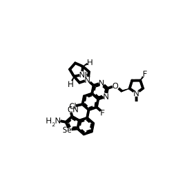 CN1C[C@H](F)C[C@@H]1COc1nc(N2C[C@H]3CC[C@@H](C2)N3)c2cc(Cl)c(-c3cccc4[se]c(N)c(C#N)c34)c(F)c2n1